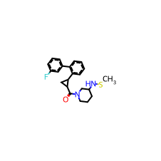 CSNC1CCCN(C(=O)C2CC2c2ccccc2-c2cccc(F)c2)C1